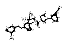 Cc1cncc(CCc2ccc3c(c2)C(C)(C)CN3C(=O)[C@H]2CC(=O)N(c3cccc(C#N)c3)C2)c1